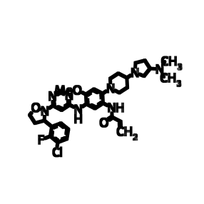 C=CC(=O)Nc1cc(Nc2cc(N3OCCC3c3cccc(Cl)c3F)ncn2)c(OC)cc1N1CCC(N2CCC(N(C)C)C2)CC1